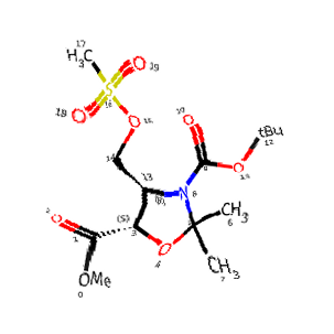 COC(=O)[C@H]1OC(C)(C)N(C(=O)OC(C)(C)C)[C@@H]1COS(C)(=O)=O